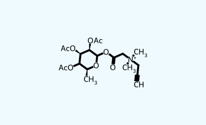 C#CC[N+](C)(C)CC(=O)OC1O[C@@H](C)C(OC(C)=O)[C@@H](OC(C)=O)[C@H]1OC(C)=O